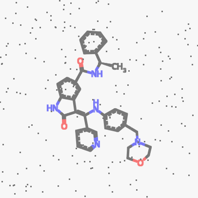 C[C@@H](NC(=O)c1ccc2c(c1)C(=C(Nc1ccc(CN3CCOCC3)cc1)c1cccnc1)C(=O)N2)c1ccccc1